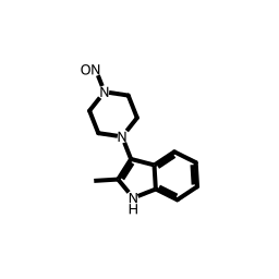 Cc1[nH]c2ccccc2c1N1CCN(N=O)CC1